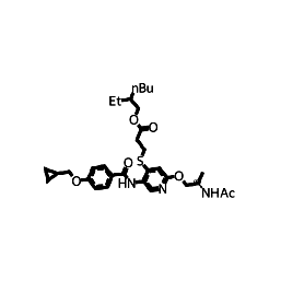 CCCCC(CC)COC(=O)CCSc1cc(OC[C@H](C)NC(C)=O)ncc1NC(=O)c1ccc(OCC2CC2)cc1